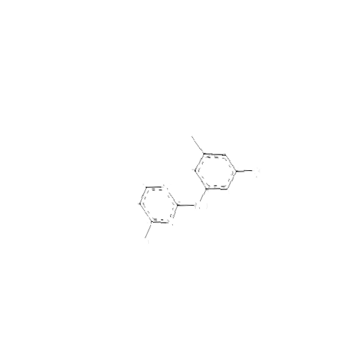 Cc1cc(Br)cc(Nc2nccc(C)n2)c1